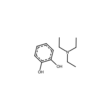 CCN(CC)CC.Oc1ccccc1O